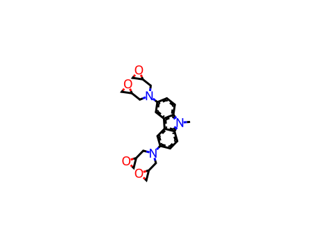 Cn1c2ccc(N(CC3CO3)CC3CO3)cc2c2cc(N(CC3CO3)CC3CO3)ccc21